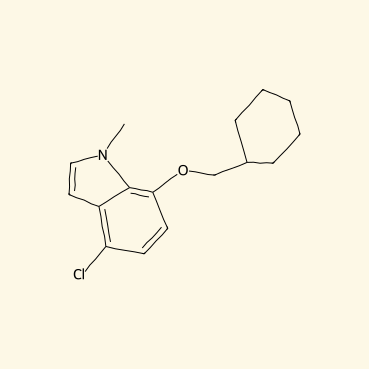 Cn1ccc2c(Cl)ccc(OCC3CCCCC3)c21